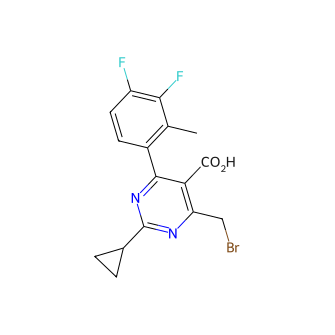 Cc1c(-c2nc(C3CC3)nc(CBr)c2C(=O)O)ccc(F)c1F